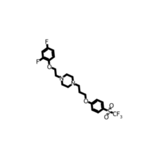 O=S(=O)(c1ccc(OCCCN2CCN(CCOc3ccc(F)cc3F)CC2)cc1)C(F)(F)F